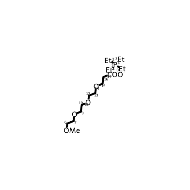 CC[P+](CC)(CC)CC.COCCOCCOCCOCCC(=O)[O-]